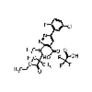 CCOC(=O)C(C)(C)CN(C)c1nnc(-c2cc(Cl)ccc2F)cc1C(=O)O.O=C(O)C(F)(F)F